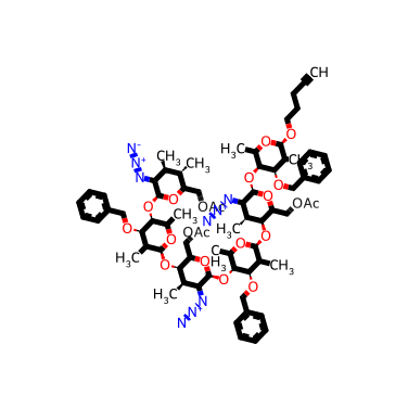 C#CCCCO[C@@H]1OC(C)[C@H](O[C@@H]2OC(COC(C)=O)[C@@H](O[C@@H]3OC(C)[C@@H](O[C@@H]4OC(COC(C)=O)[C@@H](O[C@@H]5OC(C)[C@@H](O[C@@H]6OC(COC(C)=O)[C@@H](C)[C@H](C)C6N=[N+]=[N-])[C@@H](OCc6ccccc6)C5C)[C@H](C)C4N=[N+]=[N-])[C@@H](OCc4ccccc4)C3C)[C@H](C)C2N=[N+]=[N-])[C@@H](OCc2ccccc2)C1C